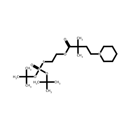 CC(C)(C)OP(=O)(OC(C)(C)C)SCCOC(=O)C(C)(C)CCN1CCCCC1